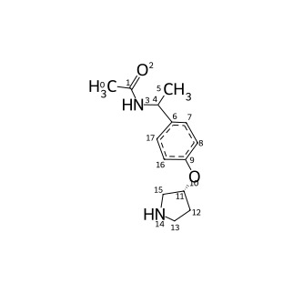 CC(=O)NC(C)c1ccc(O[C@@H]2CCNC2)cc1